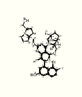 CCc1c(F)ccc2cc(O)cc(-c3nc4c5c(nc(OC[C@]67CCCN6[C@@H](CO)CC7)nc5c3F)N3C[C@@H]5CC[C@@H](N5)[C@@H]3CO4)c12